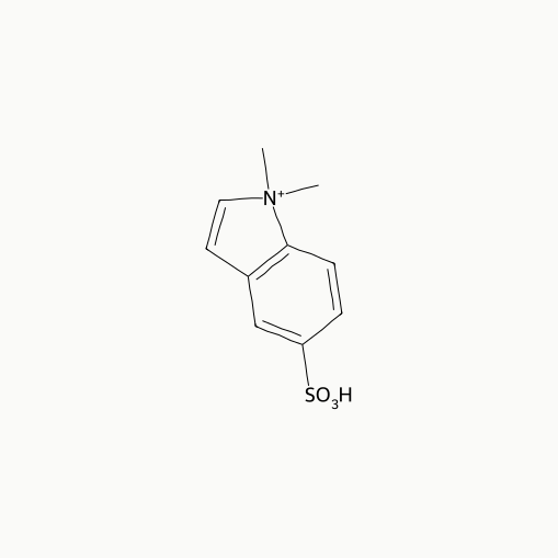 C[N+]1(C)C=Cc2cc(S(=O)(=O)O)ccc21